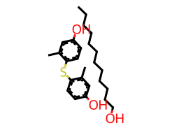 CCCCCCCCCCCCO.Cc1cc(O)ccc1Sc1ccc(O)cc1C